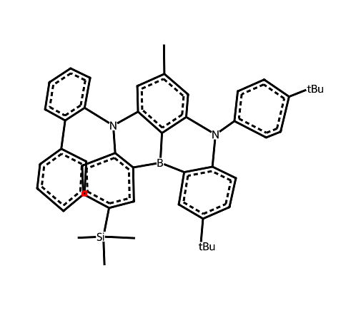 Cc1cc2c3c(c1)N(c1ccccc1-c1ccccc1)c1ccc([Si](C)(C)C)cc1B3c1cc(C(C)(C)C)ccc1N2c1ccc(C(C)(C)C)cc1